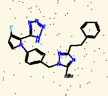 CCCCc1nc(CCc2ccccc2)nn1Cc1ccc(-n2ccc(F)c2-c2nnn[nH]2)cc1